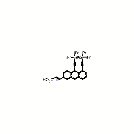 CC(C)[Si](C#Cc1cccc2cc3cc(/C=C/C(=O)O)ccc3c(C#C[Si](C(C)C)(C(C)C)C(C)C)c12)(C(C)C)C(C)C